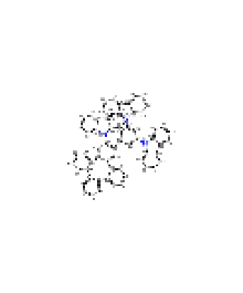 c1ccc2c(c1)-c1ccccc1-c1cc(-c3cc(-n4c5ccccc5c5ccccc54)cc(-n4c5ccccc5c5ccccc54)c3)c(-n3c4ccccc4c4ccccc43)cc1-c1ccccc1-2